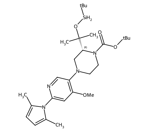 COc1cc(-n2c(C)ccc2C)ncc1N1CCN(C(=O)OC(C)(C)C)[C@@H](C(C)(C)O[SiH2]C(C)(C)C)C1